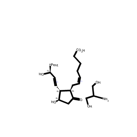 CCCCC[C@H](O)/C=C/[C@H]1[C@H](O)CC(=O)[C@@H]1C/C=C\CCCC(=O)O.NC(CO)CO